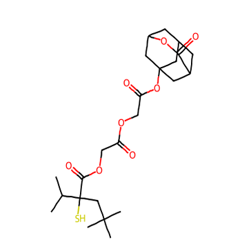 CC(C)C(S)(CC(C)(C)C)C(=O)OCC(=O)OCC(=O)OC12CC3CC(C1)OC(=O)C(C3)C2